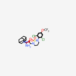 NC(=O)C12CC3CC(C1)C(NC(=O)CN1CCCN(c4c(Cl)cc(OC(F)(F)F)cc4Cl)S1(=O)=O)C(C3)C2